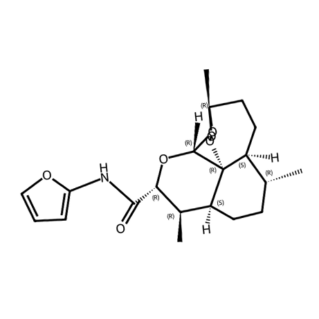 C[C@H]1[C@H](C(=O)Nc2ccco2)O[C@@H]2O[C@@]3(C)CC[C@H]4[C@H](C)CC[C@@H]1[C@@]24OO3